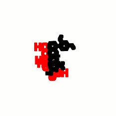 CCc1ccc(-c2ccc(O)c3c2C[C@]2(C)C[C@]4(C)C(C(C)C)C(O)=C(C(C)=O)C(=O)[C@]4(O)C(O)=C2C3=O)c(CC)c1